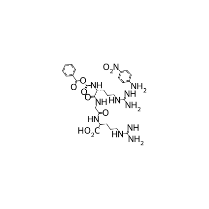 N=C(N)NCCCC(NC(=O)CNC(=O)[C@@H](CCCNC(=N)N)NC(=O)OC(=O)c1ccccc1)C(=O)O.Nc1ccc([N+](=O)[O-])cc1